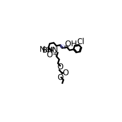 CCOC(=O)COCCCCN1C(=O)CCCC1/C=C/[C@H](O)Cc1cccc(Cl)c1.[BH4-].[Na+]